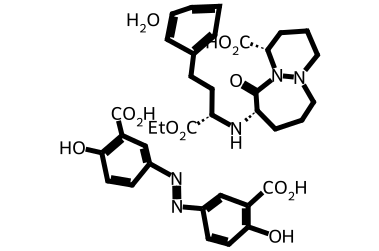 CCOC(=O)[C@H](CCc1ccccc1)N[C@H]1CCCN2CCC[C@@H](C(=O)O)N2C1=O.O.O=C(O)c1cc(/N=N/c2ccc(O)c(C(=O)O)c2)ccc1O